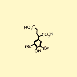 CC(C)(C)c1cc(C(CCC(=O)O)C(=O)O)cc(C(C)(C)C)c1O